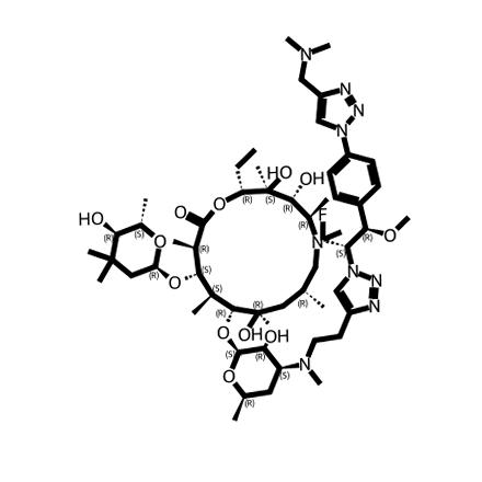 CC[C@H]1OC(=O)[C@H](C)[C@@H](O[C@H]2CC(C)(C)[C@@H](O)[C@H](C)O2)[C@H](C)[C@@H](O[C@@H]2O[C@H](C)C[C@H](N(C)CCc3cn([C@H](CF)[C@H](OC)c4ccc(-n5cc(CN(C)C)nn5)cc4)nn3)[C@H]2O)[C@](C)(O)C[C@@H](C)CN(C)[C@H](C)[C@@H](O)[C@]1(C)O